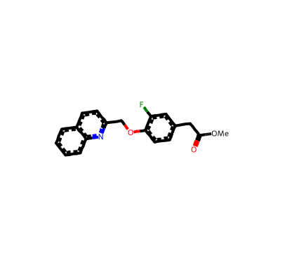 COC(=O)Cc1ccc(OCc2ccc3ccccc3n2)c(F)c1